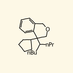 CCCCC(CCC)C1(C2CCCC2)COCc2ccccc21